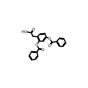 O=C(O)Cc1ccc(OC(=O)c2ccccc2)cc1OC(=O)c1ccccc1